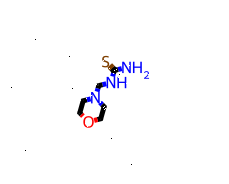 NC(=S)NCN1CCOCC1